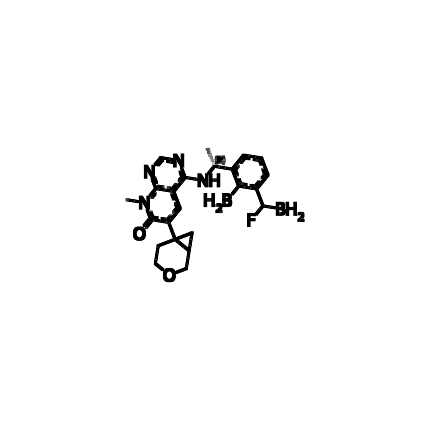 Bc1c(C(B)F)cccc1[C@@H](C)Nc1ncnc2c1cc(C13CCOCC1C3)c(=O)n2C